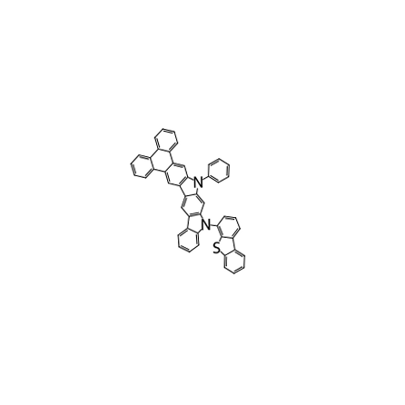 c1ccc(-n2c3cc4c5ccccc5c5ccccc5c4cc3c3cc4c5ccccc5n(-c5cccc6c5sc5ccccc56)c4cc32)cc1